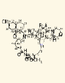 C[C@@H]1CC/C=C/[C@](CN2CCN3CCOC[C@@H]3C2)(OCC(F)(F)F)[C@@H]2CC[C@H]2CN2C[C@@]3(CCCc4cc(Cl)ccc43)COc3ccc(cc32)C(=O)NS1(=O)=O